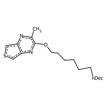 CCCCCCCCCCCCCCCCOc1nc2cscc2nc1C